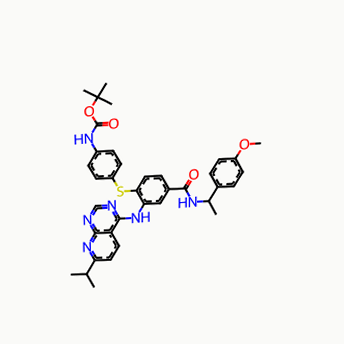 COc1ccc(C(C)NC(=O)c2ccc(Sc3ccc(NC(=O)OC(C)(C)C)cc3)c(Nc3ncnc4nc(C(C)C)ccc34)c2)cc1